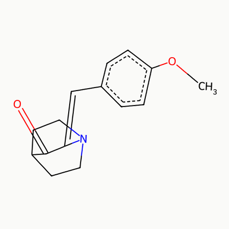 COc1ccc(C=C2C(=O)C3CCN2CC3)cc1